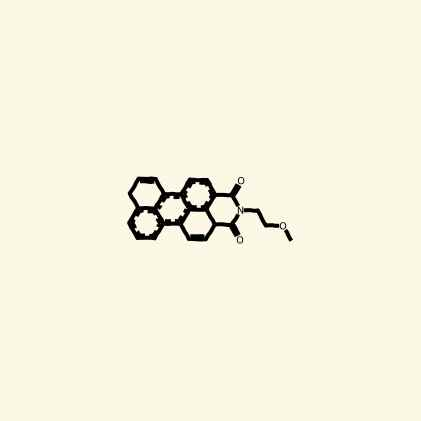 COCCN1C(=O)c2ccc3c4c5c(cccc5c5c3c2C(C=C5)C1=O)CC=C4